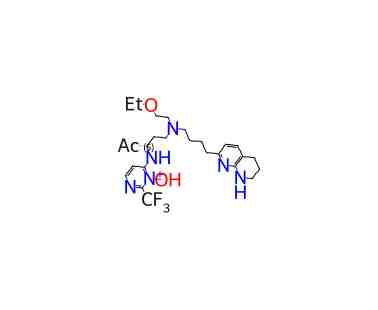 CCOCCN(CCCCc1ccc2c(n1)NCCC2)CC[C@H](Nc1ccnc(C(F)(F)F)[n+]1O)C(C)=O